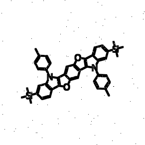 Cc1ccc(-n2c3cc([Si](C)(C)C)ccc3c3oc4cc5c(cc4c32)oc2c3ccc([Si](C)(C)C)cc3n(-c3ccc(C)cc3)c52)cc1